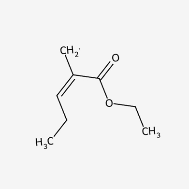 [CH2]C(=CCC)C(=O)OCC